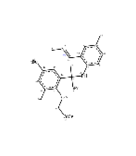 CCCC(C)(Pc1ccc(C)cc1/C=N/C)c1cc(C(C)(C)C)cc(C)c1OCOC